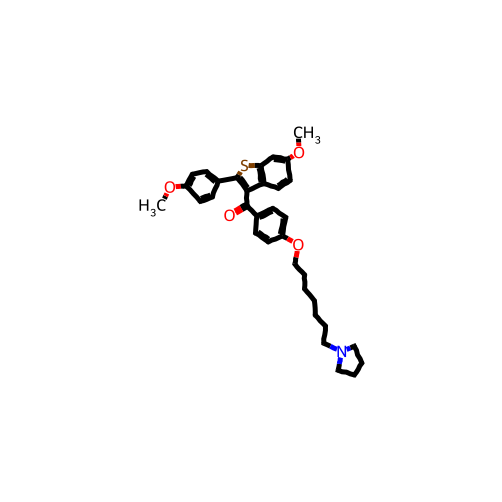 COc1ccc(-c2sc3cc(OC)ccc3c2C(=O)c2ccc(OCCCCCCCN3CCCC3)cc2)cc1